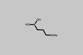 COCCCB(O)O